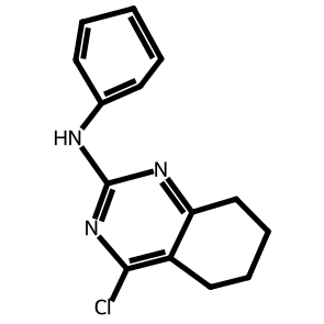 Clc1nc(Nc2ccccc2)nc2c1CCCC2